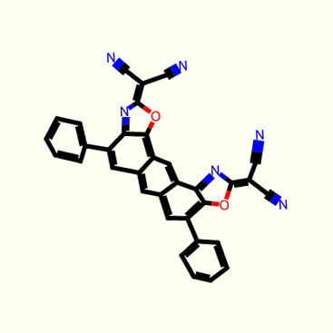 N#CC(C#N)=c1nc2c(o1)c(-c1ccccc1)cc1cc3cc(-c4ccccc4)c4nc(=C(C#N)C#N)oc4c3cc12